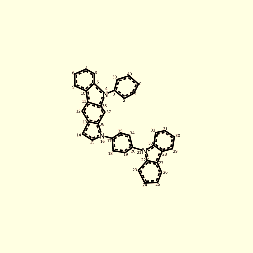 c1ccc(-n2c3ccccc3c3cc4ccn(-c5ccc(-n6c7ccccc7c7ccccc76)cc5)c4cc32)cc1